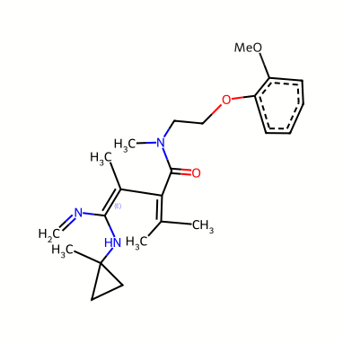 C=N/C(NC1(C)CC1)=C(\C)C(C(=O)N(C)CCOc1ccccc1OC)=C(C)C